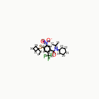 CCC1(Sc2cc(C(F)(F)F)c(C(=O)N(C(C)C)C3CCCCC3)cc2[N+](=O)[O-])CCC1